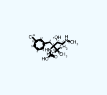 CNC[C@@H](O)[C@@](Cc1cccc(Cl)c1)(NC(=O)O)C(C)(C)C